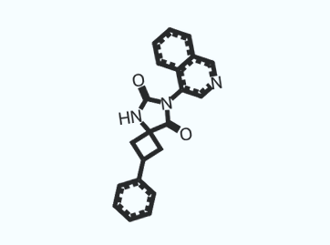 O=C1NC2(CC(c3ccccc3)C2)C(=O)N1c1cncc2ccccc12